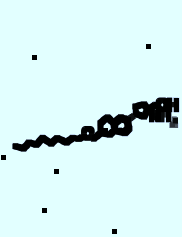 CCCCCCCCCCOCC1CCc2cc([C@H]3CC[C@](N)(CO)C3)ccc2C1